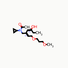 CC/C(O)=C\C(=C/COCCCOC)CN(C(C)=O)C1CC1